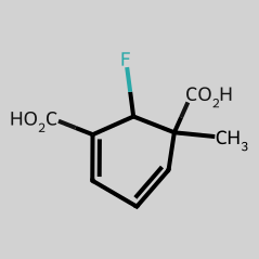 CC1(C(=O)O)C=CC=C(C(=O)O)C1F